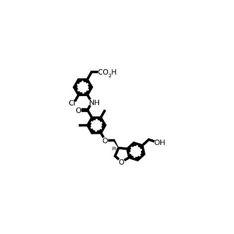 Cc1cc(OC[C@@H]2COc3ccc(CO)cc32)cc(C)c1C(=O)Nc1cc(CC(=O)O)ccc1Cl